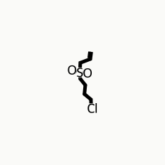 C=CCS(=O)(=O)CCCCCl